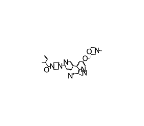 C=CC(C)C(=O)N1CCN(c2ccc(-c3cc(OC[C@H]4CN(C)CCO4)cn4ncc(C#N)c34)cn2)CC1